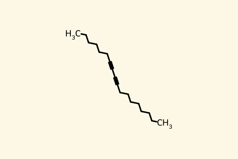 CCCCCCC#CC#CCCCCCCCC